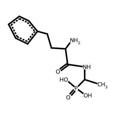 CC(NC(=O)C(N)CCc1ccccc1)P(=O)(O)O